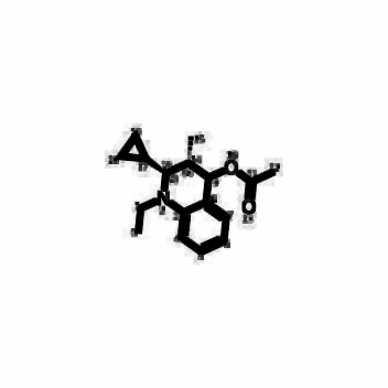 CCN1c2ccccc2C(OC(C)=O)[C@@H](C)[C@@H]1C1CC1